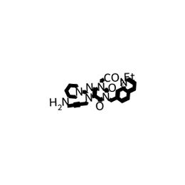 CC#CCn1c(N2CCCC(N)C2)nc2c1c(=O)n(Cc1ccc3cccnc3c1)c(=O)n2CC(=O)OCC